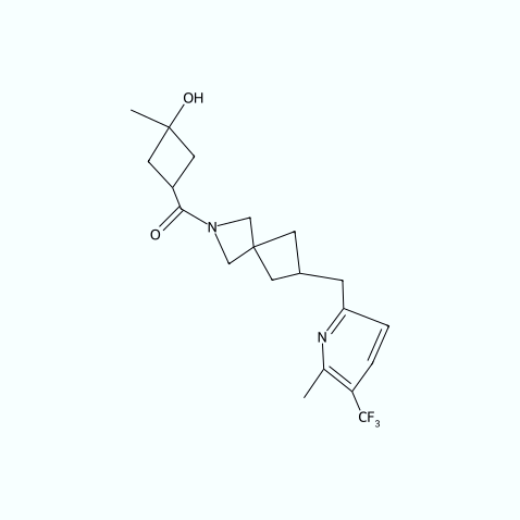 Cc1nc(CC2CC3(C2)CN(C(=O)C2CC(C)(O)C2)C3)ccc1C(F)(F)F